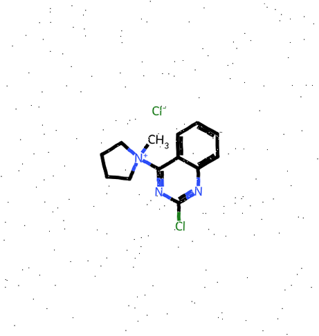 C[N+]1(c2nc(Cl)nc3ccccc23)CCCC1.[Cl-]